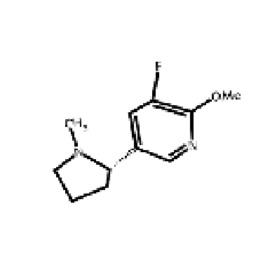 COc1ncc([C@@H]2CCCN2C)cc1F